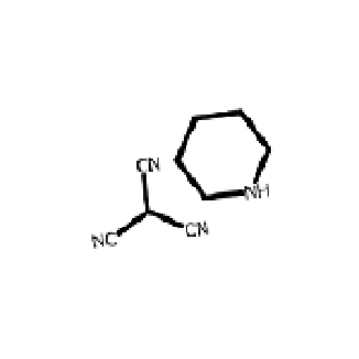 C1CCNCC1.N#CC(C#N)C#N